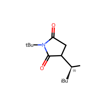 CCC(C)[C@H](C)C1CC(=O)N(C(C)(C)C)C1=O